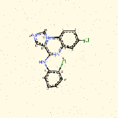 Clc1ccc2c(c1)nc(Nc1ccccc1Cl)c1cncn12